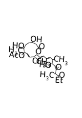 CCC(=O)C(C)C1OC1C(O)C(C)/C=C/C=C(\C)C1OC(=O)CC(O)CCC(C)(O)C(OC(C)=O)/C=C/C1C